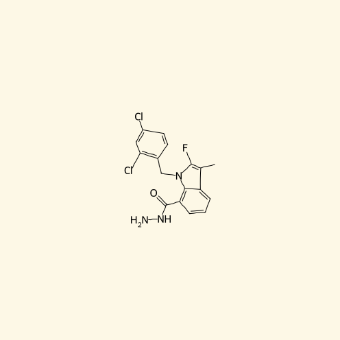 Cc1c(F)n(Cc2ccc(Cl)cc2Cl)c2c(C(=O)NN)cccc12